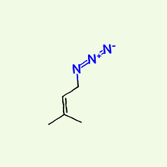 CC(C)=CCN=[N+]=[N-]